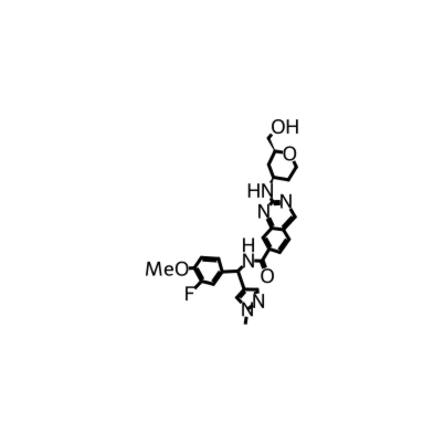 COc1ccc(C(NC(=O)c2ccc3cnc(N[C@@H]4CCO[C@H](CO)C4)nc3c2)c2cnn(C)c2)cc1F